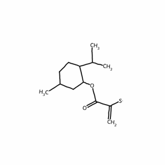 C=C([S])C(=O)OC1CC(C)CCC1C(C)C